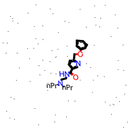 CCCN(CCC)CCNC(=O)c1ccc(COc2ccccc2)nc1